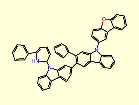 C1=CC(n2c3ccccc3c3ccc(-c4cc5c6ccccc6n(-c6ccc7oc8ccccc8c7c6)c5cc4-c4ccccc4)cc32)NC(c2ccccc2)=C1